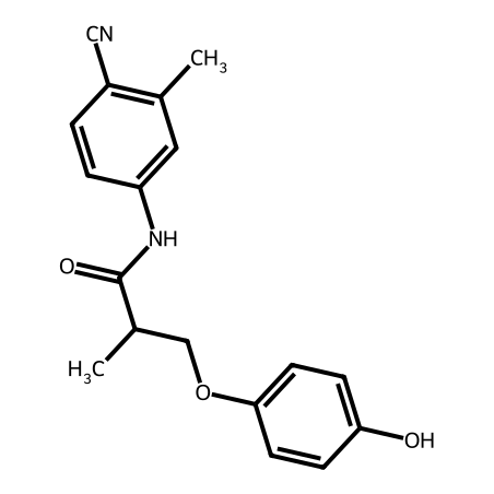 Cc1cc(NC(=O)C(C)COc2ccc(O)cc2)ccc1C#N